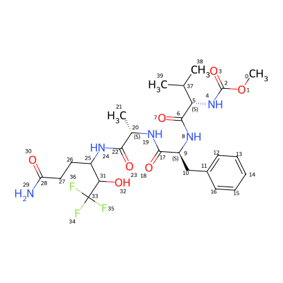 COC(=O)N[C@H](C(=O)N[C@@H](Cc1ccccc1)C(=O)N[C@@H](C)C(=O)NC(CCC(N)=O)C(O)C(F)(F)F)C(C)C